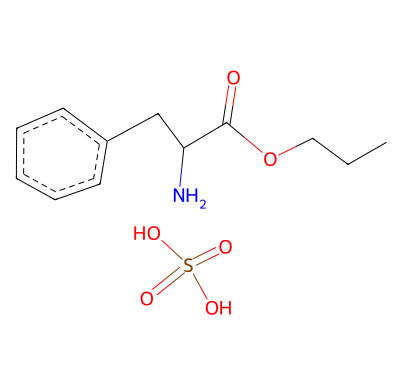 CCCOC(=O)C(N)Cc1ccccc1.O=S(=O)(O)O